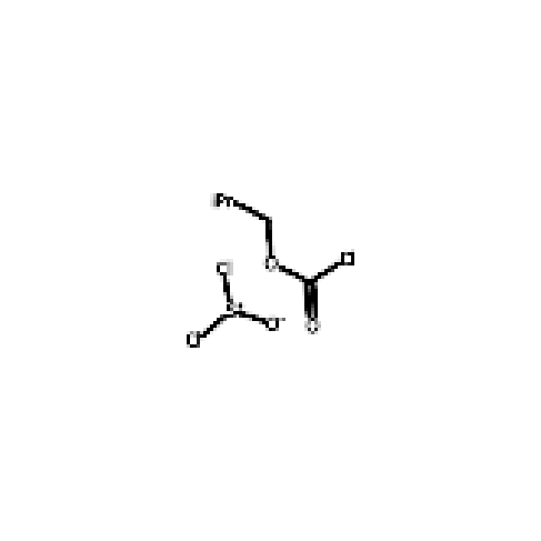 CC(C)COC(=O)Cl.[O-][S+](Cl)Cl